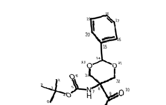 CC(C)(C)OC(=O)NC1(C(=O)O)COC(c2ccccc2)OC1